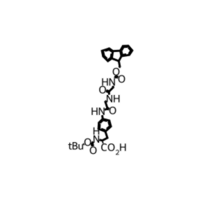 CC(C)(C)OC(=O)N[C@@H](Cc1ccc(NC(=O)CNC(=O)CNC(=O)OCC2c3ccccc3-c3ccccc32)cc1)C(=O)O